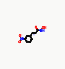 O=C(/C=C/c1cccc([N+](=O)[O-])c1)NO